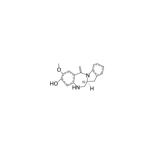 C=C1c2cc(OC)c(O)cc2NC[C@@H]2Cc3ccccc3N12